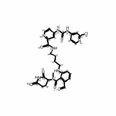 CN(C(=O)c1c(C=O)cccc1NCCCCNC(=O)c1cc(NC(=O)Nc2ccnc(Cl)c2)ccn1)C1CCC(=O)NC1=O